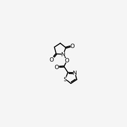 O=C(ON1C(=O)CCC1=O)c1nccs1